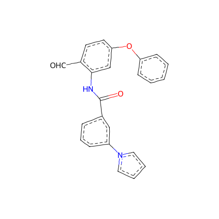 O=Cc1ccc(Oc2ccccc2)cc1NC(=O)c1cccc(-n2cccc2)c1